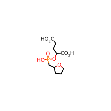 O=C(O)CCC(OP(=O)(O)CC1CCCO1)C(=O)O